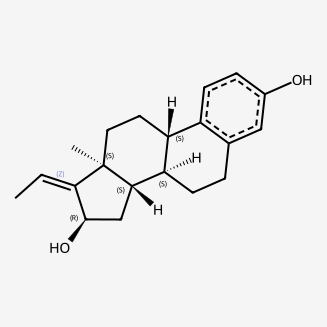 C/C=C1\[C@H](O)C[C@H]2[C@@H]3CCc4cc(O)ccc4[C@H]3CC[C@]12C